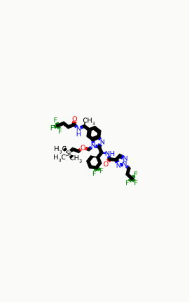 C[C@@H](NC(=O)CCC(F)(F)F)c1ccc2nc([C@@H](NC(=O)c3cnn(CCC(F)(F)F)n3)[C@@H]3CCCC(F)(F)C3)n(COCC[Si](C)(C)C)c2c1